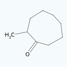 [CH2]C1CCCCCCC1=O